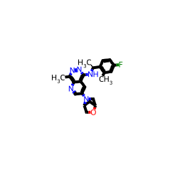 Cc1cc(F)ccc1[C@@H](C)Nc1nnc(C)c2ncc(N3CC4CC3CO4)cc12